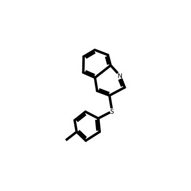 Cc1ccc(Sc2cnc3ccccc3c2)cc1